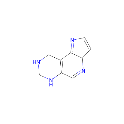 C1=CC2N=CC3=C(CNCN3)C2=N1